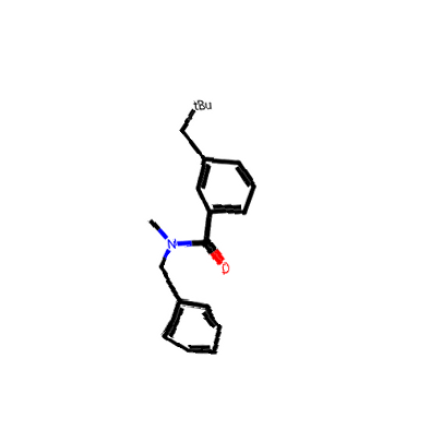 CN(Cc1ccccc1)C(=O)c1cccc(CC(C)(C)C)c1